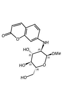 CO[C@H]1O[C@H](CO)[C@@H](O)[C@H](O)[C@H]1Nc1ccc2ccc(=O)oc2c1